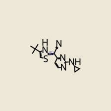 CC(C)(C)C1=CS/C(=C(/C#N)c2ccnc(NC3CC3)n2)N1